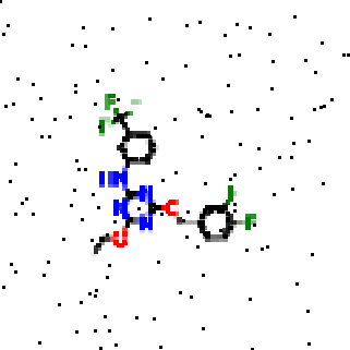 CCOc1nc(Nc2cccc(C(F)(F)F)c2)nc(OCc2ccc(F)c(F)c2)n1